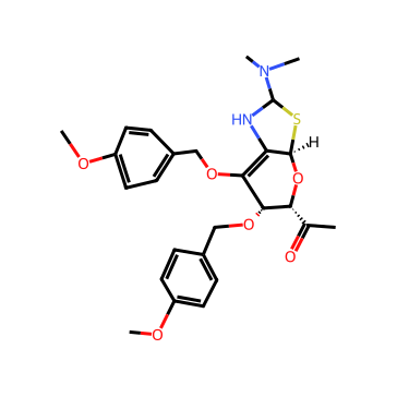 COc1ccc(COC2=C3NC(N(C)C)S[C@H]3O[C@H](C(C)=O)[C@@H]2OCc2ccc(OC)cc2)cc1